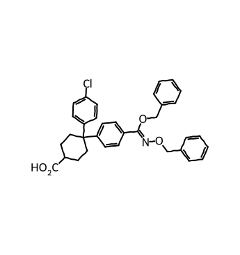 O=C(O)C1CCC(c2ccc(Cl)cc2)(c2ccc(C(=NOCc3ccccc3)OCc3ccccc3)cc2)CC1